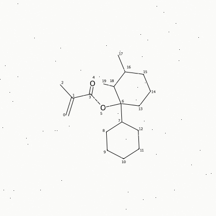 C=C(C)C(=O)OC1(C2CCCCC2)CCCC(C)C1C